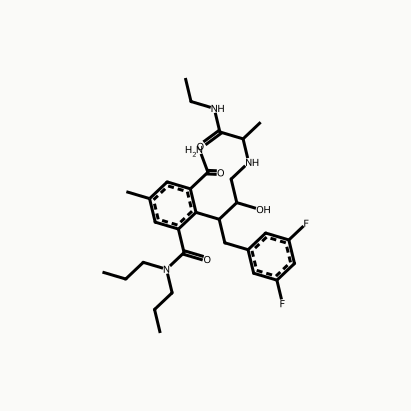 CCCN(CCC)C(=O)c1cc(C)cc(C(N)=O)c1C(Cc1cc(F)cc(F)c1)C(O)CNC(C)C(=O)NCC